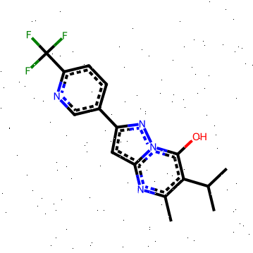 Cc1nc2cc(-c3ccc(C(F)(F)F)nc3)nn2c(O)c1C(C)C